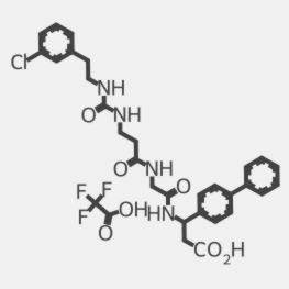 O=C(O)C(F)(F)F.O=C(O)CC(NC(=O)CNC(=O)CCNC(=O)NCCc1cccc(Cl)c1)c1ccc(-c2ccccc2)cc1